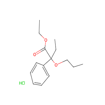 CCCOC(CC)(C(=O)OCC)c1ccccc1.Cl